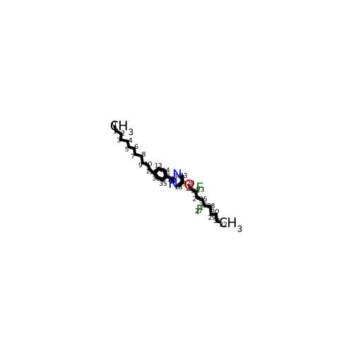 CCCCCCCCCCCCc1ccc(-c2ncc(OCC(F)CCC(F)CCCCC)cn2)cc1